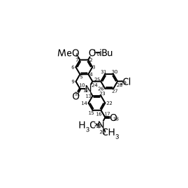 CCC(C)Oc1cc2c(cc1OC)CC(=O)N(c1ccc(C(=O)N(C)C)cc1)C2c1ccc(Cl)cc1